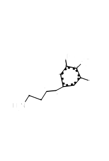 CCc1cc(CCCCN)cc(C(C)(C)C)c1C(F)(F)F